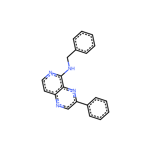 c1ccc(CNc2nccc3ncc(-c4ccccc4)nc23)cc1